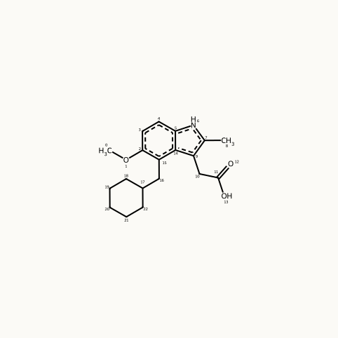 COc1ccc2[nH]c(C)c(CC(=O)O)c2c1CC1CCCCC1